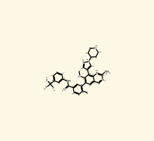 COc1c(-c2cc(C(=O)Nc3cccc(C(F)(F)F)c3)ccc2C)cc2cnc(N)nc2c1-c1cnn(C2CCOCC2)c1